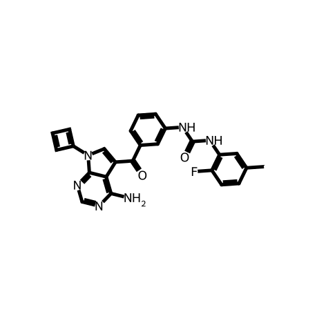 Cc1ccc(F)c(NC(=O)Nc2cccc(C(=O)c3cn(C4=CC=C4)c4ncnc(N)c34)c2)c1